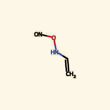 C=CNON=O